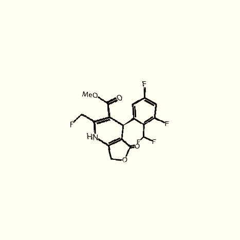 COC(=O)C1=C(CF)NC2=C(C(=O)OC2)[C@@H]1c1cc(F)cc(F)c1C(F)F